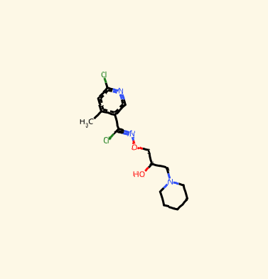 Cc1cc(Cl)ncc1C(Cl)=NOCC(O)CN1CCCCC1